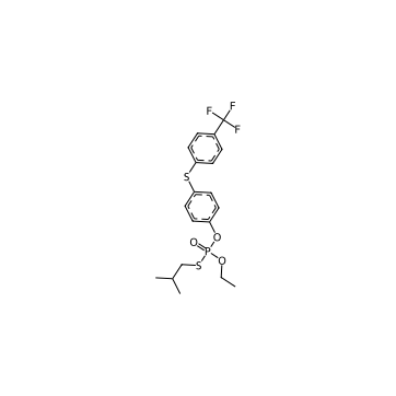 CCOP(=O)(Oc1ccc(Sc2ccc(C(F)(F)F)cc2)cc1)SCC(C)C